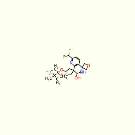 CCC1(CCO[Si](C)(C)C(C)(C)C)c2nc(C(F)F)ccc2C2(COC2)NC1O